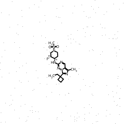 CCC1(c2nc(C)c3cnc(N[C@@H]4CCN(S(C)(=O)=O)C[C@H]4F)nn23)CCC1